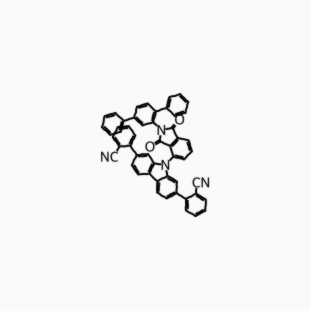 N#Cc1ccccc1-c1ccc2c3ccc(-c4ccccc4C#N)cc3n(-c3cccc4c3C(=O)N(c3cc(-c5ccccc5)ccc3-c3ccccc3)C4=O)c2c1